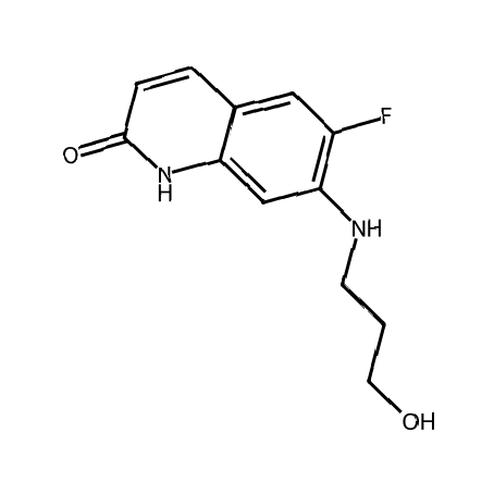 O=c1ccc2cc(F)c(NCCCO)cc2[nH]1